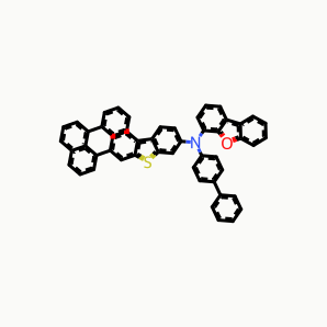 c1ccc(-c2ccc(N(c3ccc4c(c3)sc3cc(-c5cccc6cccc(-c7ccccc7)c56)ccc34)c3cccc4c3oc3ccccc34)cc2)cc1